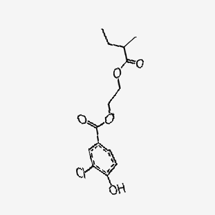 CCC(C)C(=O)OCCOC(=O)c1ccc(O)c(Cl)c1